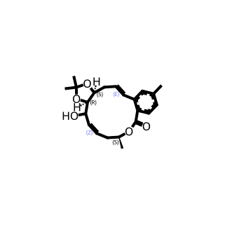 Cc1ccc2c(c1)/C=C/C[C@@H]1OC(C)(C)O[C@@H]1C(O)/C=C\C[C@H](C)OC2=O